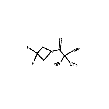 CCCC(C)(CCC)C(=O)N1CC(F)(F)C1